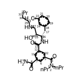 CCCN(CCC)C(=O)c1cc(C(N)=O)cc(C(=O)N[C@@H](Cc2cccc(C)c2)[C@H](O)CNCCC(C)C)c1